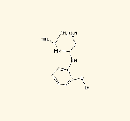 CCOc1ccccc1NC(C[N+](=O)[O-])NC(C)C(C)(C)C